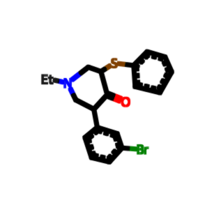 CCN1CC(Sc2ccccc2)C(=O)C(c2cccc(Br)c2)C1